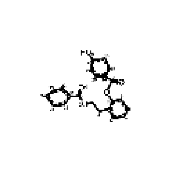 O=C(OCCc1ccccc1OC(=O)c1ccc(O)cc1)c1ccccc1